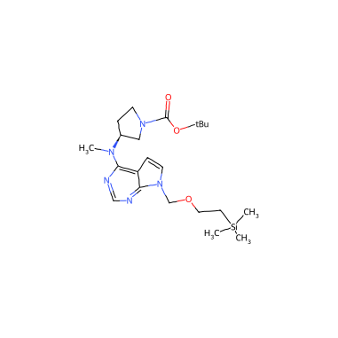 CN(c1ncnc2c1ccn2COCC[Si](C)(C)C)[C@H]1CCN(C(=O)OC(C)(C)C)C1